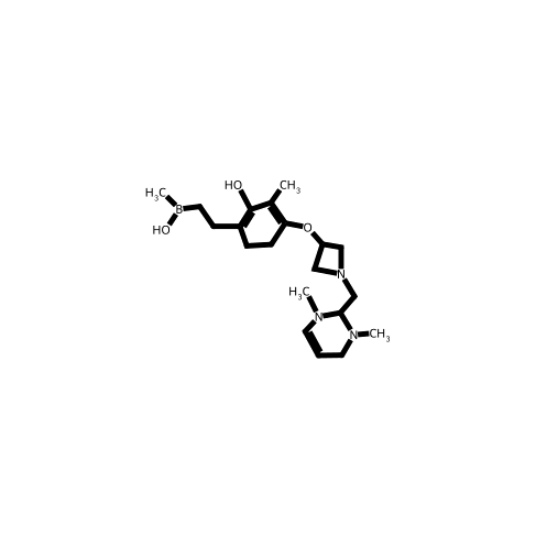 CB(O)CCC1=C(O)C(C)=C(OC2CN(CC3N(C)C=CCN3C)C2)CC1